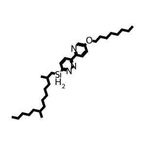 CCCCCCCCOc1ccc(-c2ccc([SiH2]CC(C)CCCCCC(C)CCCCC)nn2)nc1